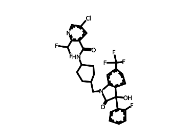 O=C(NC1CCC(CN2C(=O)C(O)(c3ccccc3F)c3ccc(C(F)(F)F)cc32)CC1)c1cc(Cl)cnc1C(F)F